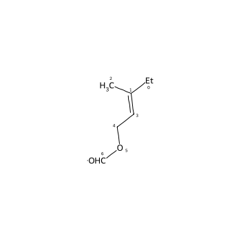 CCC(C)=CCO[C]=O